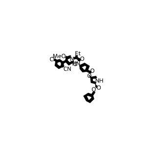 CCC(C(=O)Nc1ccc(C(=O)O[C@H]2CN[C@@H](C(=O)OCc3ccccc3)C2)cc1)n1cc(OC)c(-c2cc(Cl)ccc2C#N)cc1=O